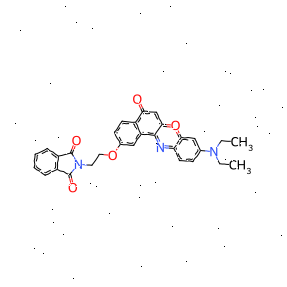 CCN(CC)c1ccc2nc3c4cc(OCCN5C(=O)c6ccccc6C5=O)ccc4c(=O)cc-3oc2c1